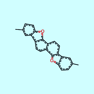 Cc1ccc2oc3c(ccc4c3ccc3c5cc(C)ccc5oc34)c2c1